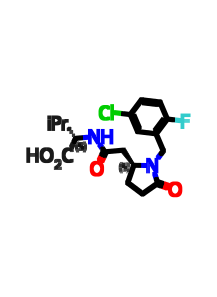 CC(C)[C@H](NC(=O)C[C@@H]1CCC(=O)N1Cc1cc(Cl)ccc1F)C(=O)O